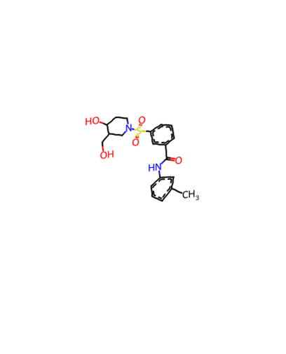 Cc1cccc(NC(=O)c2cccc(S(=O)(=O)N3CCC(O)C(CO)C3)c2)c1